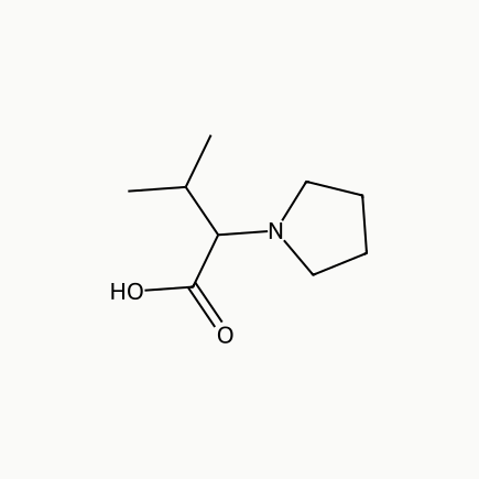 CC(C)C(C(=O)O)N1CCCC1